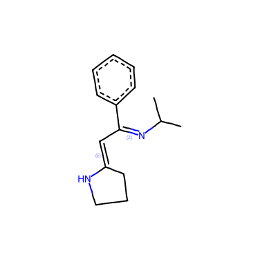 CC(C)/N=C(/C=C1\CCCN1)c1ccccc1